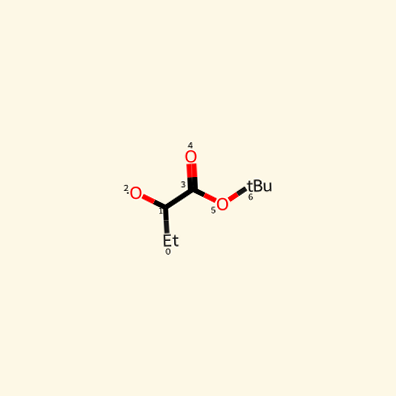 CCC([O])C(=O)OC(C)(C)C